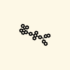 c1ccc(C2(c3ccccc3)c3cccc4ccc5cc(-c6ccc(-c7c8ccccc8c(-c8ccc(N(c9ccc%10ccccc%10c9)c9ccc%10ccccc%10c9)cc8)c8ccccc78)cc6)cc2c5c34)cc1